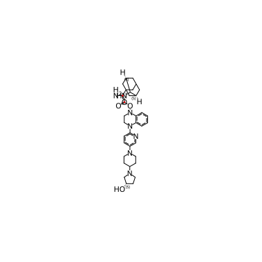 NC(=O)C12CC3C[C@H](C1)C(NC(=O)ON1CCN(c4ccc(N5CCC(N6CC[C@H](O)C6)CC5)cn4)c4ccccc41)[C@@H](C3)C2